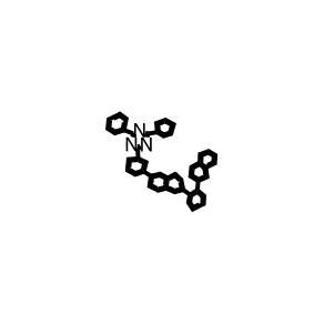 c1ccc(-c2nc(-c3ccccc3)nc(-c3cccc(-c4ccc5cc(-c6ccccc6-c6ccc7ccccc7c6)ccc5c4)c3)n2)cc1